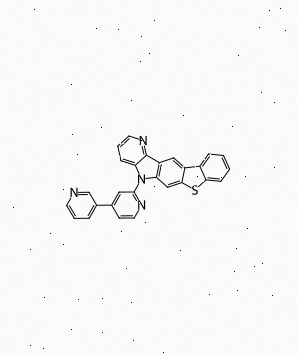 c1cncc(-c2ccnc(-n3c4cc5sc6ccccc6c5cc4c4ncccc43)c2)c1